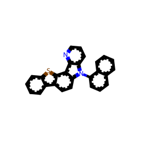 c1ccc2c(-n3c4cccnc4c4c5sc6ccccc6c5ccc43)cccc2c1